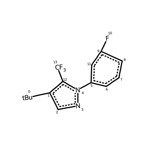 CC(C)(C)c1cnn(-c2cccc(F)c2)c1C(F)(F)F